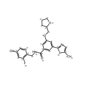 Cc1cnc(-c2cc(OCC3CCCO3)cc(C(=O)NCc3ncc(Cl)cc3F)c2)s1